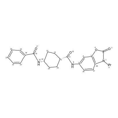 CC(C)n1c(=O)oc2cc(NC(=O)[C@H]3CC[C@@H](NC(=O)c4ccccc4)CC3)ccc21